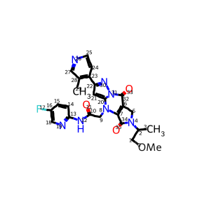 COCC(C)N1Cc2c(n(CC(=O)Nc3ccc(F)cn3)c3cc(-c4ccncc4C)nn3c2=O)C1=O